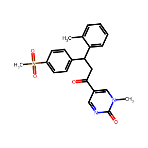 Cc1ccccc1C(CC(=O)c1cnc(=O)n(C)c1)c1ccc(S(C)(=O)=O)cc1